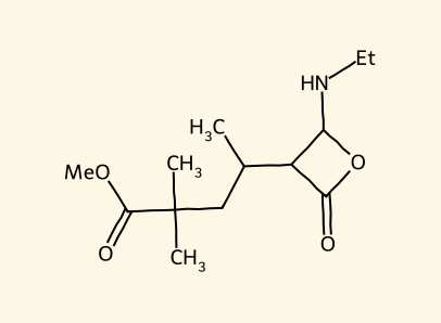 CCNC1OC(=O)C1C(C)CC(C)(C)C(=O)OC